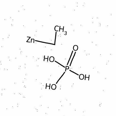 C[CH2][Zn].O=P(O)(O)O